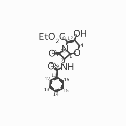 CCOC(=O)C1=C(O)COC2C(NC(=O)c3ccccc3)C(=O)N12